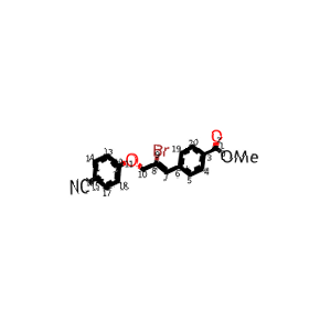 COC(=O)c1ccc(C=C(Br)COc2ccc(C#N)cc2)cc1